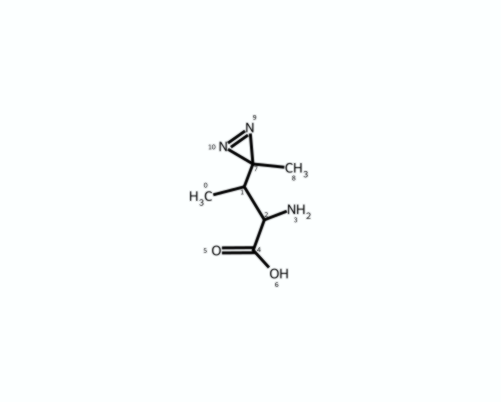 CC(C(N)C(=O)O)C1(C)N=N1